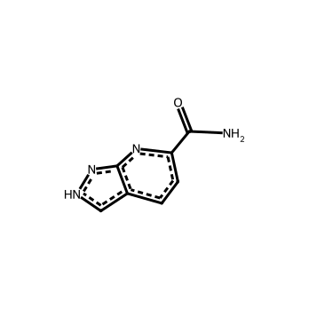 NC(=O)c1ccc2c[nH]nc2n1